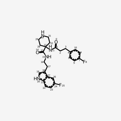 O=C(CCc1ccc(F)cc1)NC1(C(=O)NCCc2c[nH]c3ccc(F)cc23)CCNCC1